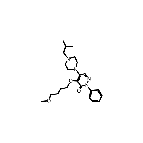 COCCCCOc1c(N2CCN(CC(C)C)CC2)cnn(-c2ccccc2)c1=O